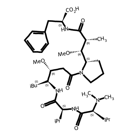 CC[C@H](C)[C@H](NC(=O)[C@@H](NC(=O)[C@H](C(C)C)N(C)C)C(C)C)[C@@H](CC(=O)N1CCC[C@H]1[C@H](OC)[C@@H](C)C(=O)N[C@@H](Cc1ccccc1)C(=O)O)OC